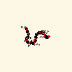 COc1cc(CC(=O)Nc2ccc(C(=O)N(CC(=O)O)Cc3ccc(-c4nc(-c5ccc(-c6ccc(C)cc6)cc5)no4)cc3)cc2)c(OI)cc1Cc1ccc(-c2ccc(-c3noc(-c4ccc(CN(CC(=O)O)C(O)c5ccc(NC(=O)Cc6c(OC)cccc6OI)cc5)cc4)n3)cc2)cc1